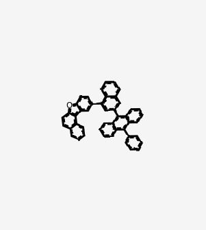 c1ccc(-c2c3ccccc3c(-c3cc(-c4ccc5oc6ccc7ccccc7c6c5c4)c4ccccc4c3)c3ccccc23)cc1